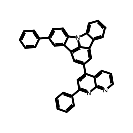 c1ccc(-c2ccc3c(c2)c2cc(-c4cc(-c5ccccc5)nc5ncccc45)cc4c5ccccc5n3c42)cc1